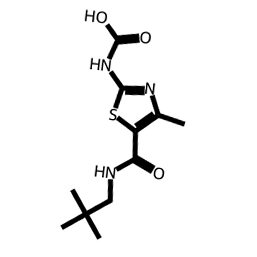 Cc1nc(NC(=O)O)sc1C(=O)NCC(C)(C)C